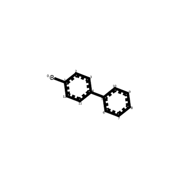 [B]c1ccc(-c2ccccc2)cc1